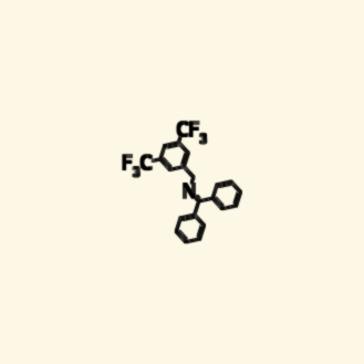 FC(F)(F)c1cc(CN=C(c2ccccc2)c2ccccc2)cc(C(F)(F)F)c1